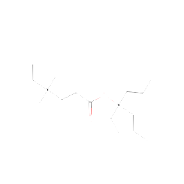 CCCC(CC)(CCC)OC(=O)CCC(C)(C)CC